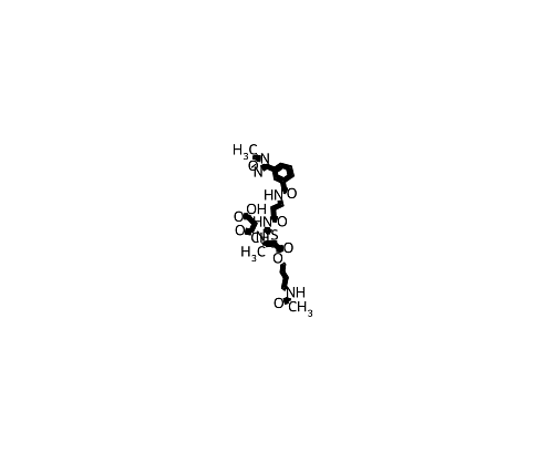 CC(=O)CC(=O)O.CC(=O)NCCCCOC(=O)c1sc(NC(=O)CCNC(=O)c2cccc(-c3noc(C)n3)c2)nc1C